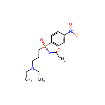 CCN(CC)CCCS(=O)(=NC(C)=O)c1ccc([N+](=O)[O-])cc1